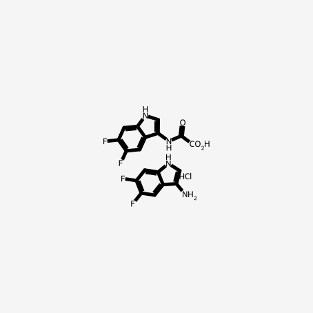 Cl.Nc1c[nH]c2cc(F)c(F)cc12.O=C(O)C(=O)Nc1c[nH]c2cc(F)c(F)cc12